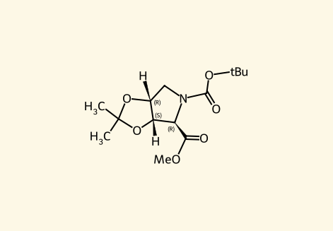 COC(=O)[C@H]1[C@@H]2OC(C)(C)O[C@@H]2CN1C(=O)OC(C)(C)C